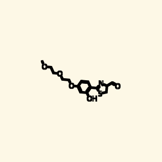 COCCOCCOc1ccc(C2=NC(C=O)CS2)c(O)c1